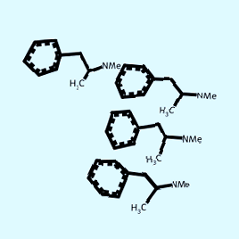 CNC(C)Cc1ccccc1.CNC(C)Cc1ccccc1.CNC(C)Cc1ccccc1.CNC(C)Cc1ccccc1